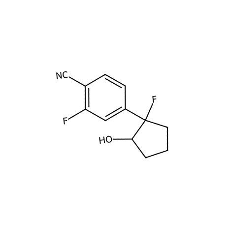 N#Cc1ccc(C2(F)CCCC2O)cc1F